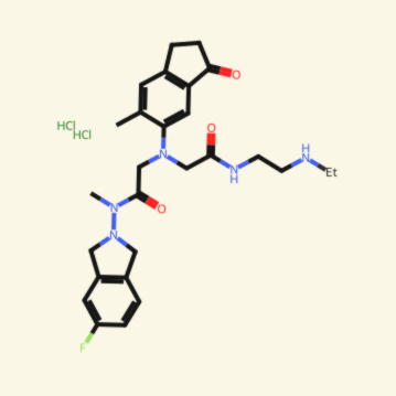 CCNCCNC(=O)CN(CC(=O)N(C)N1Cc2ccc(F)cc2C1)c1cc2c(cc1C)CCC2=O.Cl.Cl